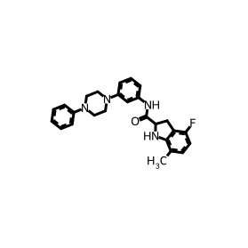 Cc1ccc(F)c2c1NC(C(=O)Nc1cccc(N3CCN(c4ccccc4)CC3)c1)C2